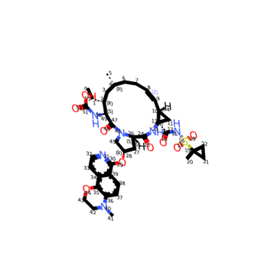 CC[C@@H]1C[C@H](C)CC/C=C\[C@@H]2C[C@@]2(C(=O)NS(=O)(=O)C2(C)CC2)NC(=O)[C@@H]2C[C@@H](Oc3nccc4c5c(ccc34)N(C)CCO5)CN2C(=O)[C@H]1NC(=O)O